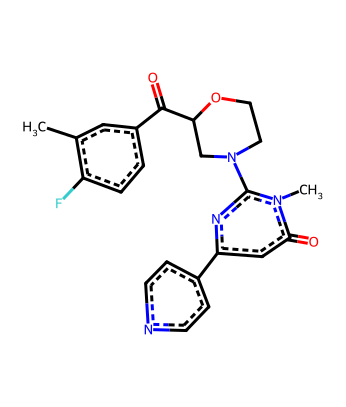 Cc1cc(C(=O)C2CN(c3nc(-c4ccncc4)cc(=O)n3C)CCO2)ccc1F